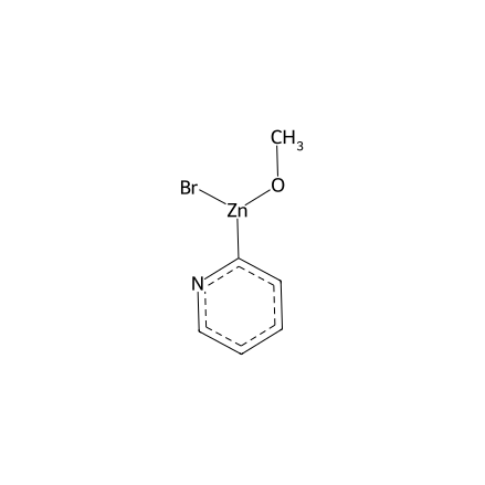 C[O][Zn]([Br])[c]1ccccn1